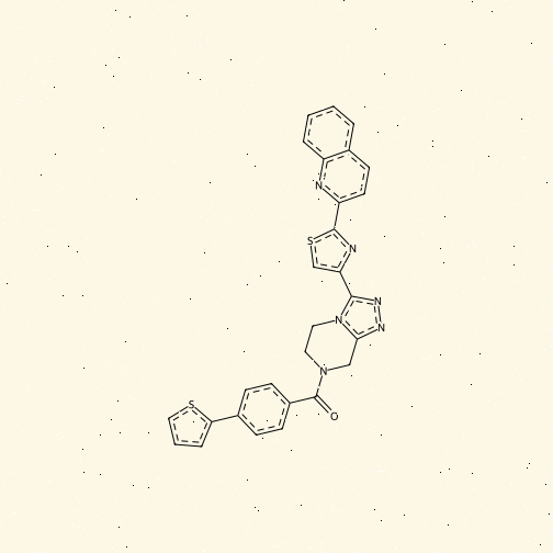 O=C(c1ccc(-c2cccs2)cc1)N1CCn2c(nnc2-c2csc(-c3ccc4ccccc4n3)n2)C1